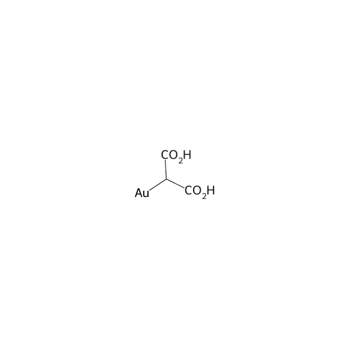 O=C(O)[CH]([Au])C(=O)O